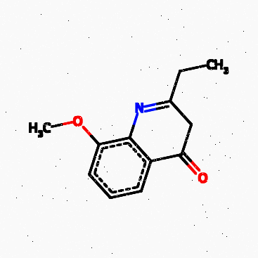 CCC1=Nc2c(OC)cccc2C(=O)C1